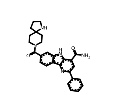 NC(=O)c1cc(-c2ccccc2)nc2c1[nH]c1cc(C(=O)N3CCC4(CCCN4)CC3)ccc12